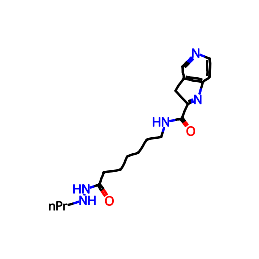 CCCNNC(=O)CCCCCCNC(=O)C1=Nc2ccncc2C1